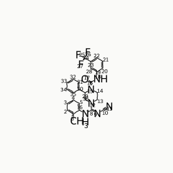 Cc1ccccc1N/C(=N/C#N)N1CCN(C(=O)Nc2cccc(C(F)(F)F)c2)C(c2ccccc2)C1